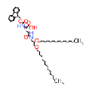 CCCCCCCCCCCCCCOCC(CNC(=O)CC[C@H](NC(=O)OCC1c2ccccc2-c2ccccc21)C(=O)O)OCCCCCCCCCCCCCC